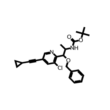 CC(NC(=O)OC(C)(C)C)C(OCc1ccccc1)c1ncc(C#CC2CC2)cc1Cl